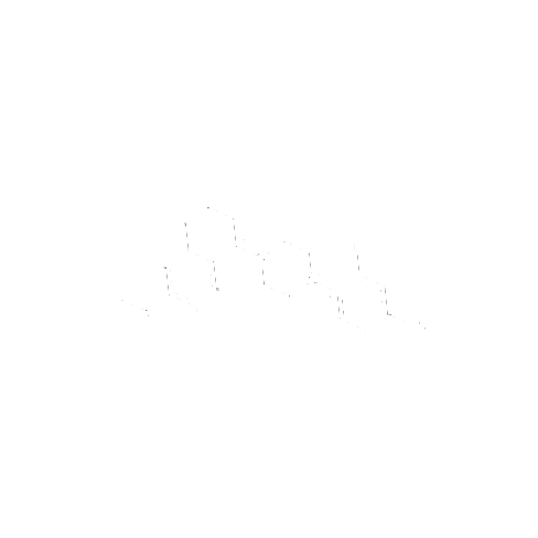 N#Cc1ccc(N2CCN(C3CCCc4cc(CCl)ccc43)CC2)c(F)c1